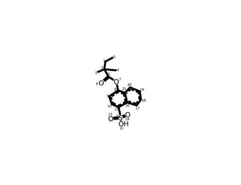 CCC(C)(C)C(=O)Oc1ccc(S(=O)(=O)O)c2ccccc12